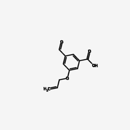 C=CCOc1cc(C=O)cc(C(=O)O)c1